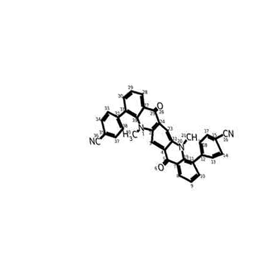 Cn1c2cc3c(=O)c4cccc(-c5ccc(C#N)cc5)c4n(C)c3cc2c(=O)c2cccc(-c3ccc(C#N)cc3)c21